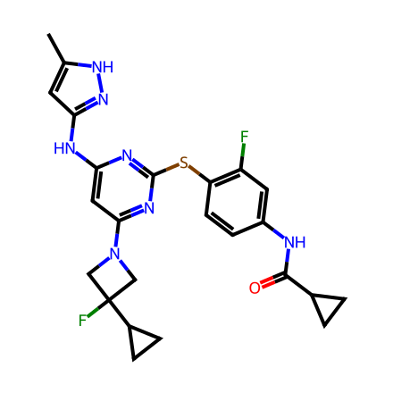 Cc1cc(Nc2cc(N3CC(F)(C4CC4)C3)nc(Sc3ccc(NC(=O)C4CC4)cc3F)n2)n[nH]1